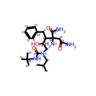 CC(C)CN(CC(O)C(Cc1ccccc1)C(N)(CC(N)=O)C(N)=O)C(=O)NC(C)(C)C